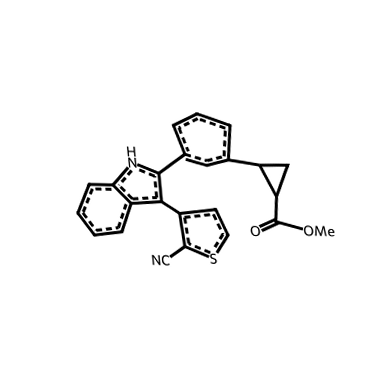 COC(=O)C1CC1c1cccc(-c2[nH]c3ccccc3c2-c2ccsc2C#N)c1